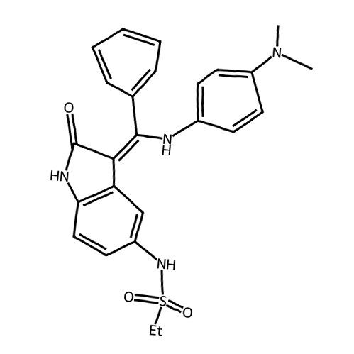 CCS(=O)(=O)Nc1ccc2c(c1)/C(=C(\Nc1ccc(N(C)C)cc1)c1ccccc1)C(=O)N2